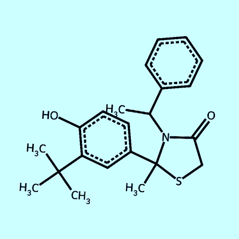 CC(c1ccccc1)N1C(=O)CSC1(C)c1ccc(O)c(C(C)(C)C)c1